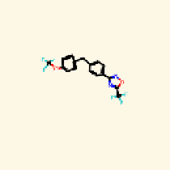 FC(F)(F)Oc1ccc(Cc2ccc(-c3noc(C(F)(F)F)n3)cc2)cc1